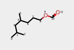 CC(C)CC(C)CCCO[C]=O